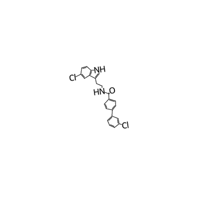 O=C(NCCc1c[nH]c2ccc(Cl)cc12)c1ccc(-c2cccc(Cl)c2)cc1